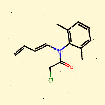 C=CC=CN(C(=O)CCl)c1c(C)cccc1C